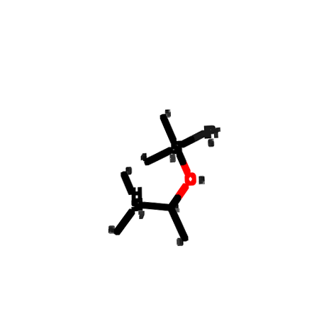 CC(O[Si](C)(C)C(C)C)[SiH](C)C